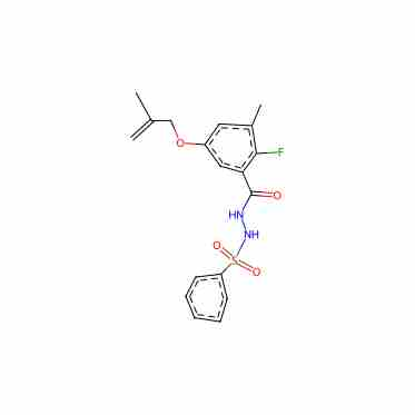 C=C(C)COc1cc(C)c(F)c(C(=O)NNS(=O)(=O)c2ccccc2)c1